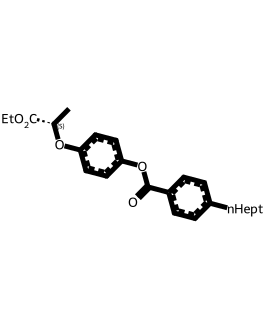 CCCCCCCc1ccc(C(=O)Oc2ccc(O[C@@H](C)C(=O)OCC)cc2)cc1